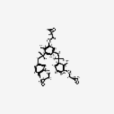 Cc1ccc(CC(C)(C)c2cc(CC(C)(C)c3cccc(OCC4CO4)c3C)cc(OCC3CO3)c2C)cc1OCC1CO1